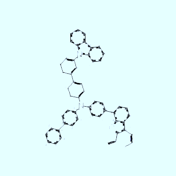 C=Cc1oc2c(-c3ccc(N(C4=CC=C(C5=CC(n6c7ccccc7c7ccccc76)=CCC5)CC4)c4ccc(-c5ccccc5)cc4)cc3)cccc2c1/C=C\C